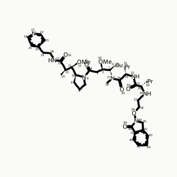 CC[C@H](C)[C@@H]([C@@H](CC(=O)N1CCC[C@H]1[C@H](OC)[C@@H](C)C(=O)NCCc1ccncc1)OC)N(C)C(=O)[C@@H](NC(=O)[C@@H](NCCON1Cc2ccccc2C1=O)C(C)C)C(C)C